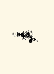 CC(=O)c1nn(CC(=O)N2[C@H](C)[C@@H](C)C[C@H]2C(=O)NC/C(F)=C(/C)c2ccccc2)c2ccc(-c3cnc(C)nc3)cc12